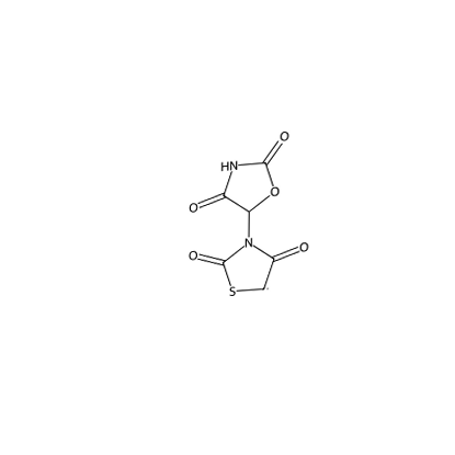 O=C1NC(=O)C(N2C(=O)[CH]SC2=O)O1